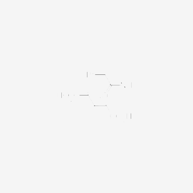 CC(C)CC(N)=O.O=C(O)CCCC(=O)O